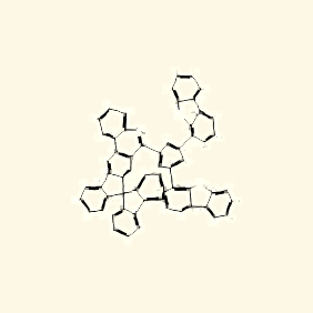 c1ccc2c(c1)-c1ccccc1C21c2ccccc2-c2cc3c(cc21)c(-c1cc(-c2cccc4c2oc2ccccc24)cc(-c2cccc4c2oc2ccccc24)c1)nc1ccccc13